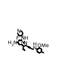 C=Cc1c(C#CCNc2ccc(C)cc2OC)nn2c(N[C@@H]3CCN(C)C[C@@H]3F)cc(N)cc12